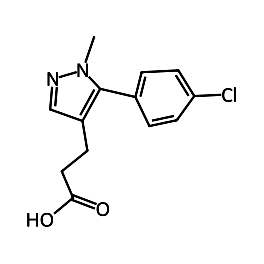 Cn1ncc(CCC(=O)O)c1-c1ccc(Cl)cc1